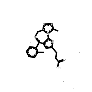 Cc1ccccc1C1=NCc2nnc(C)n2-c2sc(CCC(=O)O)cc21